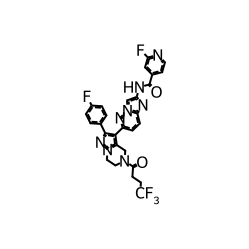 O=C(Nc1cn2nc(-c3c(-c4ccc(F)cc4)nn4c3CN(C(=O)CCC(F)(F)F)CC4)ccc2n1)c1ccnc(F)c1